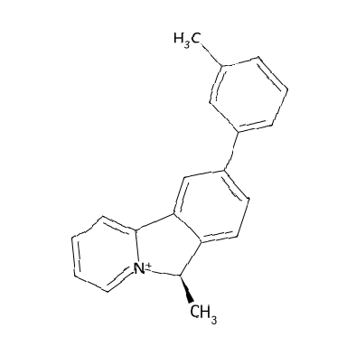 Cc1cccc(-c2ccc3c(c2)-c2cccc[n+]2[C@@H]3C)c1